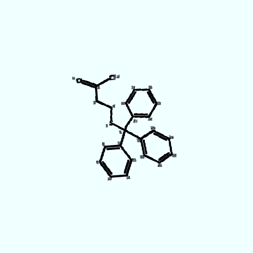 O=C(Cl)CCSC(c1ccccc1)(c1ccccc1)c1ccccc1